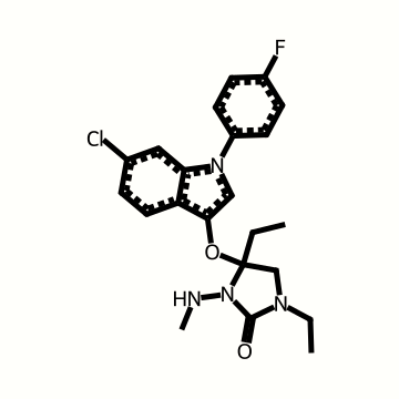 CCN1CC(CC)(Oc2cn(-c3ccc(F)cc3)c3cc(Cl)ccc23)N(NC)C1=O